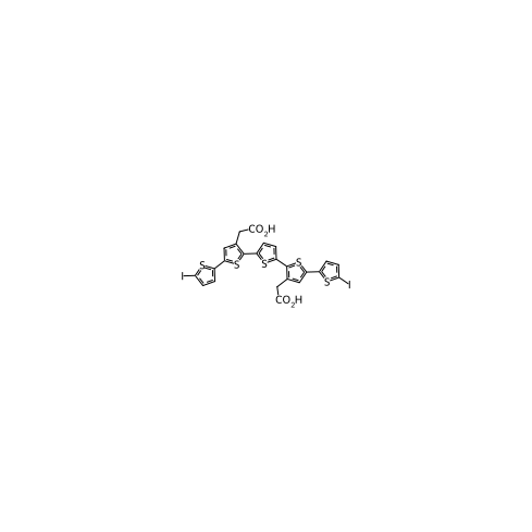 O=C(O)Cc1cc(-c2ccc(I)s2)sc1-c1ccc(-c2sc(-c3ccc(I)s3)cc2CC(=O)O)s1